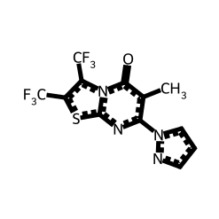 Cc1c(-n2cccn2)nc2sc(C(F)(F)F)c(C(F)(F)F)n2c1=O